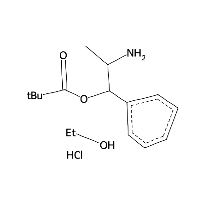 CC(N)C(OC(=O)C(C)(C)C)c1ccccc1.CCO.Cl